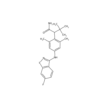 Cc1cc(Nc2nsc3cc(F)ccc23)cc(C)c1C(C(N)=O)C(C)(C)C